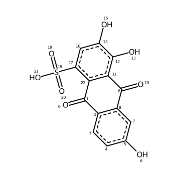 O=C1c2ccc(O)cc2C(=O)c2c(O)c(O)cc(S(=O)(=O)O)c21